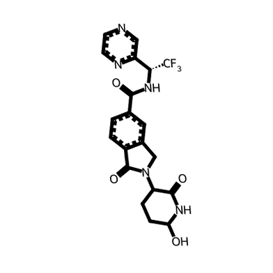 O=C(N[C@H](c1cnccn1)C(F)(F)F)c1ccc2c(c1)CN(C1CCC(O)NC1=O)C2=O